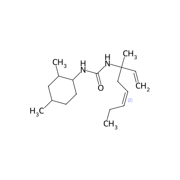 C=CC(C)(C/C=C\CC)NC(=O)NC1CCC(C)CC1C